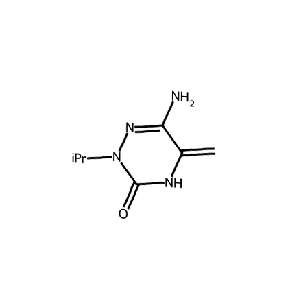 C=C1NC(=O)N(C(C)C)N=C1N